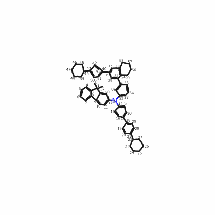 CC1(C)c2ccccc2-c2ccc(N(c3ccc(-c4ccc(C5CCCCC5)cc4)cc3)c3cccc(-c4cc(-c5ccc(C6CCCCC6)cc5)cc5c4CCCC5)c3)cc21